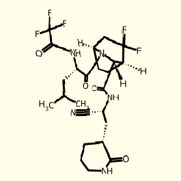 CC(C)C[C@H](NC(=O)C(F)(F)F)C(=O)N1[C@H]2CC[C@@H]([C@@H]1C(=O)N[C@@H](C#N)C[C@H]1CCCNC1=O)C(F)(F)C2